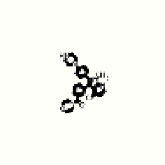 Cn1c(-c2ccc(N3CCNCC3)cc2)c(-c2cccc(C(=O)N3CCOCC3)c2)c2c(Cl)ccnc21